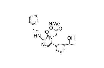 CNOC(=O)Cn1c(-c2cccc(C(C)O)c2)cnc(NCCc2ccccc2)c1=O